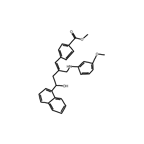 COC(=O)c1ccc(C=C(CNc2cccc(OC)c2)CC(O)c2cccc3ccccc23)cc1